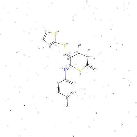 C=C1SC(=N\c2ccc(C)cc2)/C(=C/Sc2cccs2)C(C)C1(C)C